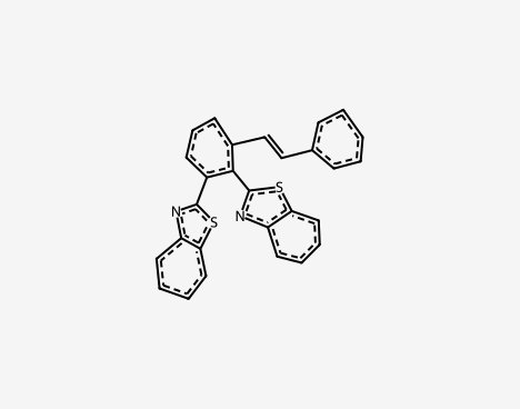 C(=Cc1cccc(-c2nc3ccccc3s2)c1-c1nc2ccccc2s1)c1ccccc1